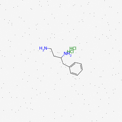 Cl.Cl.NCCC(N)Cc1ccccc1